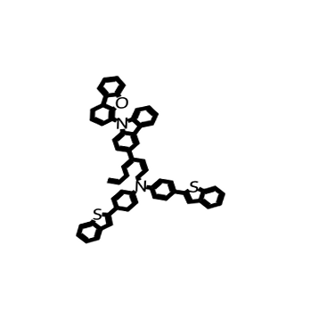 C=CC/C=C(\C=C/CN(C1=CCC(c2cc3ccccc3s2)C=C1)c1ccc(-c2cc3ccccc3s2)cc1)c1ccc2c(c1)c1ccccc1n2C1=C2Oc3ccccc3C2CC=C1